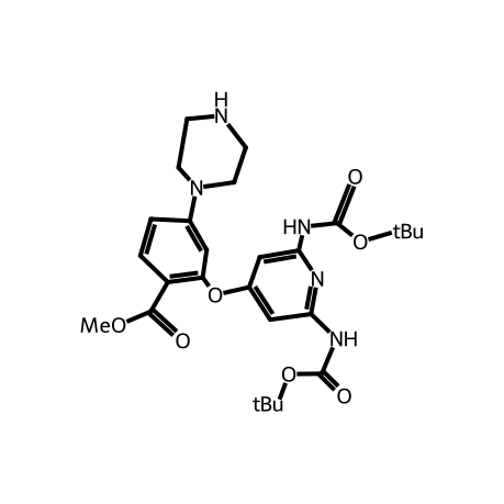 COC(=O)c1ccc(N2CCNCC2)cc1Oc1cc(NC(=O)OC(C)(C)C)nc(NC(=O)OC(C)(C)C)c1